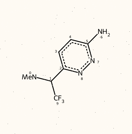 CNC(c1ccc(N)nn1)C(F)(F)F